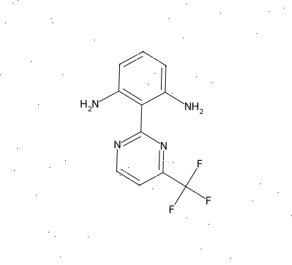 Nc1cccc(N)c1-c1nccc(C(F)(F)F)n1